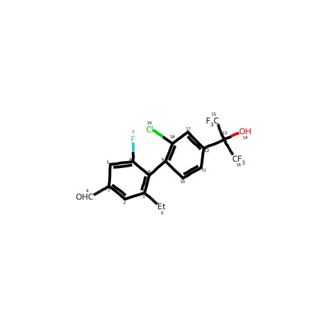 CCc1cc(C=O)cc(F)c1-c1ccc(C(O)(C(F)(F)F)C(F)(F)F)cc1Cl